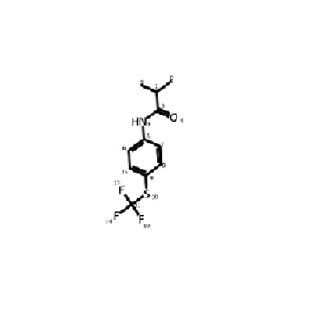 CC(C)C(=O)Nc1ccc(SC(F)(F)F)cc1